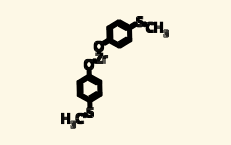 CSc1ccc([O][Zr][O]c2ccc(SC)cc2)cc1